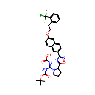 CC(C)(C)OC(=O)NC(=NC(=O)O)N1CCCC1c1nc(-c2ccc3cc(OCCc4ccccc4C(F)(F)F)ccc3c2)no1